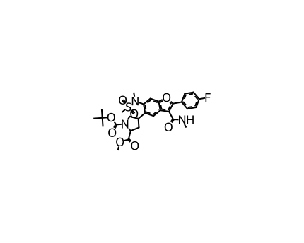 CNC(=O)c1c(-c2ccc(F)cc2)oc2cc(N(C)S(C)(=O)=O)c(C3CC(C(=O)OC)N(C(=O)OC(C)(C)C)C3)cc12